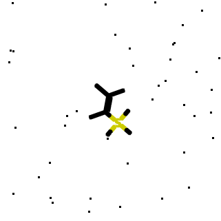 CC(C)=C(C)S(C)(C)C